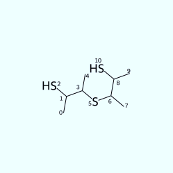 CC(S)C(C)SC(C)C(C)S